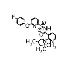 CC1CN(c2ncccc2C(=O)NS(=O)(=O)c2cccc(Oc3ccc(F)cc3)n2)C(C)(C)C1